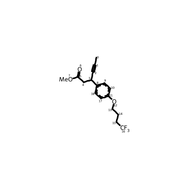 CC#CC(CC(=O)OC)c1ccc(OCCCC(F)(F)F)cc1